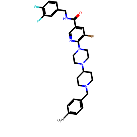 O=C(NCc1ccc(F)c(F)c1)c1cnc(N2CCN(C3CCN(Cc4ccc([N+](=O)[O-])cc4)CC3)CC2)c(Br)c1